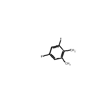 [CH2]c1c(C)cc(F)cc1F